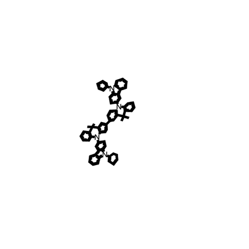 CC1(C)c2ccccc2N(c2ccc3c(c2)c2ccccc2n3C2=CC=CCC2)c2ccc(-c3ccc4c(c3)C(C)(C)c3ccccc3N4c3ccc4c(c3)c3ccccc3n4-c3ccccc3)cc21